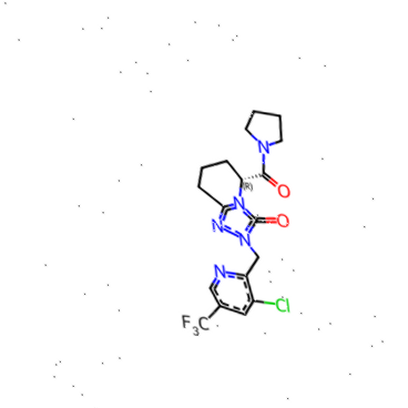 O=C([C@H]1CCCc2nn(Cc3ncc(C(F)(F)F)cc3Cl)c(=O)n21)N1CCCC1